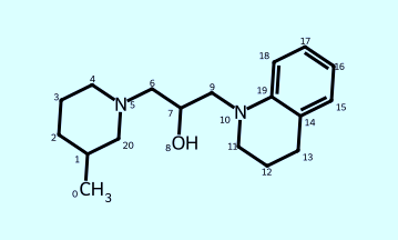 CC1CCCN(CC(O)CN2CCCc3ccccc32)C1